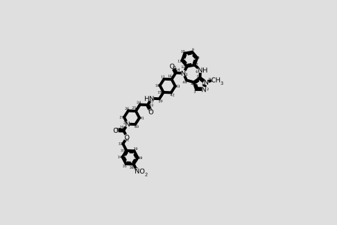 Cn1ncc2c1Nc1ccccc1N(C(=O)C1CCC(CNC(=O)CC3CCN(C(=O)OCc4ccc([N+](=O)[O-])cc4)CC3)CC1)C2